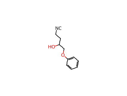 [C-]#[N+]CCC(O)COc1ccccc1